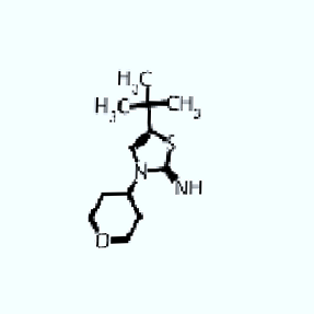 CC(C)(C)c1cn(C2CCOCC2)c(=N)s1